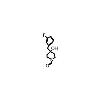 O=CN1CCC(O)(Cc2cccc(F)c2)CC1